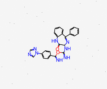 N=C(NC1N=C(c2ccccc2)c2ccccc2NC1=O)OC(=N)c1ccc(-n2cncn2)cc1